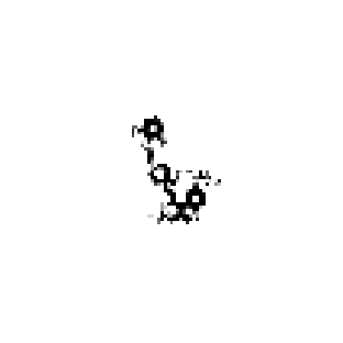 COc1ccc2ncc(CN)c([C@@H](F)CCC3(CC(=O)O)CCN(CCOc4c(F)cc(F)cc4F)CC3)c2c1